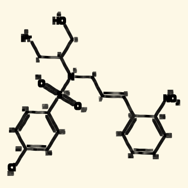 CC(C)CC(CO)N(C/C=C/c1ccccc1[N+](=O)[O-])S(=O)(=O)c1ccc(Cl)cc1